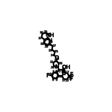 O=C(O)C(c1cc(F)ccc1C1CCC(F)(F)CO1)N1CCC(OCCCCc2ccc3c(n2)NCCC3)C1